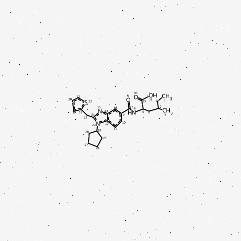 CCC(C)CC(NC(=O)c1ccc2c(c1)nc(Cc1cccs1)n2C1CCCC1)C(=O)O